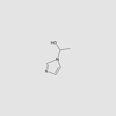 CC(O)n1[c]ncc1